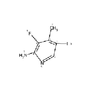 Cc1c(I)cnc(N)c1F